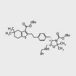 CCCCOC(=O)c1c(CCc2ccc(C[C@H]3[C@@H](CNCC(C)C)OC(C)(C)N3C(=O)OC(C)(C)C)cc2)sc2c1CC(C)(C)CC2